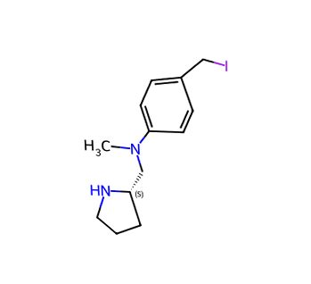 CN(C[C@@H]1CCCN1)c1ccc(CI)cc1